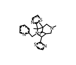 CN1CC2C(=O)C(C)(C1)C(C)(c1nccs1)N(Cc1ccccn1)C2c1nccs1